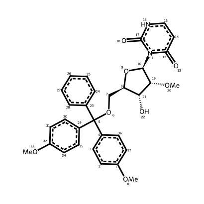 COc1ccc(C(OC[C@H]2O[C@@H](n3c(=O)cc[nH]c3=O)[C@H](OC)[C@@H]2O)(c2ccccc2)c2ccc(OC)cc2)cc1